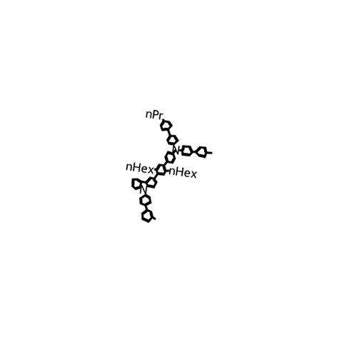 CCCCCCc1cc(-c2ccc3c(c2)c2ccccc2n3-c2ccc(-c3cccc(C)c3)cc2)c(CCCCCC)cc1-c1ccc(N(c2ccc(-c3ccc(C)cc3)cc2)c2ccc(-c3ccc(CCC)cc3)cc2)cc1